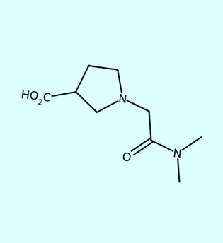 CN(C)C(=O)CN1CCC(C(=O)O)C1